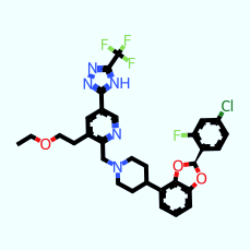 CCOCCc1cc(-c2nnc(C(F)(F)F)[nH]2)cnc1CN1CCC(c2cccc3c2O[C@@H](c2ccc(Cl)cc2F)O3)CC1